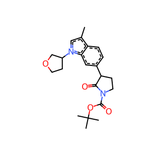 Cc1cn(C2CCOC2)c2cc(C3CCN(C(=O)OC(C)(C)C)C3=O)ccc12